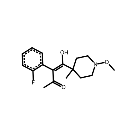 CON1CCC(C)(/C(O)=C(\C(C)=O)c2ccccc2F)CC1